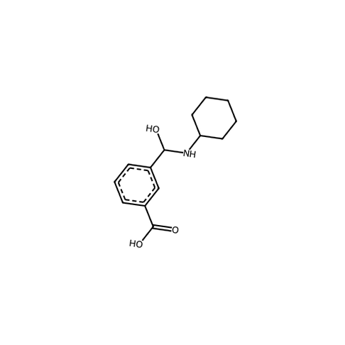 O=C(O)c1cccc(C(O)NC2CCCCC2)c1